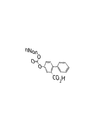 CCCCCCCCCOC(=O)Oc1ccc(-c2ccccc2)c(C(=O)O)c1